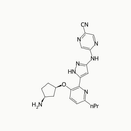 CCCc1ccc(O[C@@H]2CC[C@H](N)C2)c(-c2cc(Nc3cnc(C#N)cn3)n[nH]2)n1